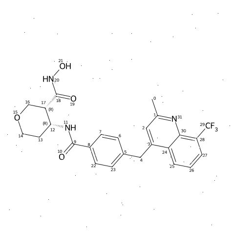 Cc1cc(Cc2ccc(C(=O)N[C@@H]3CCOC[C@@H]3C(=O)NO)cc2)c2cccc(C(F)(F)F)c2n1